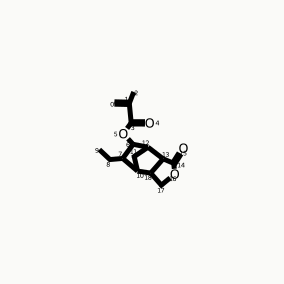 C=C(C)C(=O)OC1C(CC)C2CC1C1C(=O)OCC21